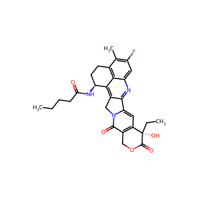 CCCCC(=O)N[C@H]1CCc2c(C)c(F)cc3nc4c(c1c23)Cn1c-4cc2c(c1=O)COC(=O)[C@]2(O)CC